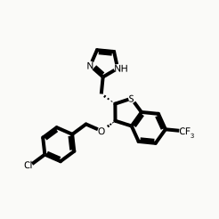 FC(F)(F)c1ccc2c(c1)S[C@@H](Cc1ncc[nH]1)[C@H]2OCc1ccc(Cl)cc1